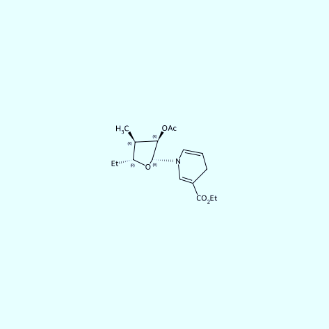 CCOC(=O)C1=CN([C@@H]2O[C@H](CC)[C@@H](C)[C@H]2OC(C)=O)C=CC1